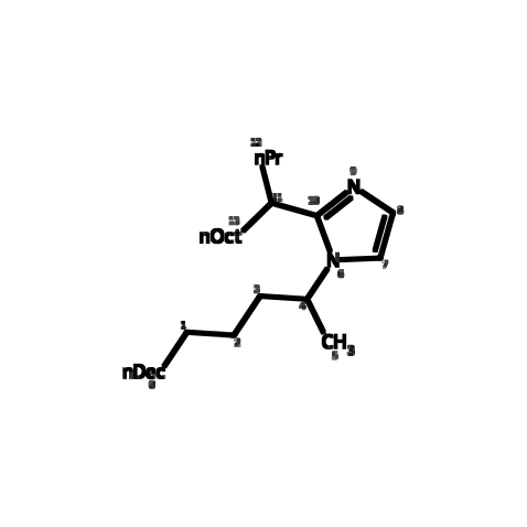 CCCCCCCCCCCCCC(C)n1ccnc1C(CCC)CCCCCCCC